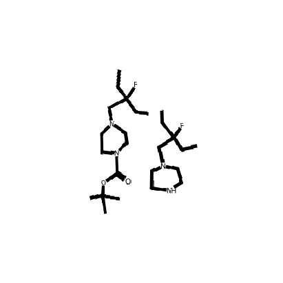 CCC(F)(CC)CN1CCN(C(=O)OC(C)(C)C)CC1.CCC(F)(CC)CN1CCNCC1